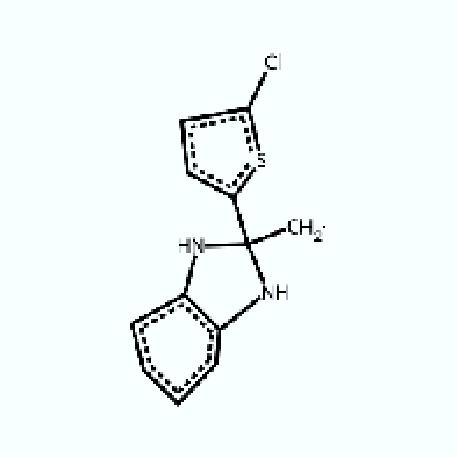 [CH2]C1(c2ccc(Cl)s2)Nc2ccccc2N1